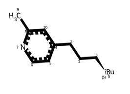 CC[C@H](C)CCCc1ccnc(C)c1